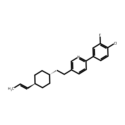 CC=C[C@H]1CC[C@H](CCc2ccc(-c3ccc(Cl)c(F)c3)nc2)CC1